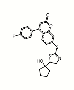 O=c1cc(-c2ccc(F)cc2)c2ccc(SC3=NCC(C4(O)CCCC4)S3)cc2o1